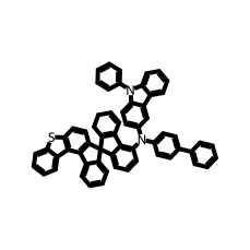 C1=CC2=C(CC1)C1(c3ccccc3-c3c1ccc1sc4ccccc4c31)c1cccc(N(c3ccc(-c4ccccc4)cc3)c3ccc4c(c3)c3ccccc3n4-c3ccccc3)c12